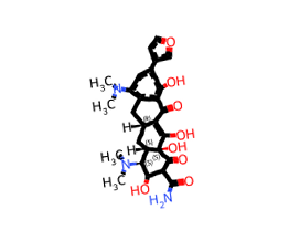 CN(C)c1cc(-c2ccoc2)c(O)c2c1C[C@H]1C[C@H]3[C@H](N(C)C)C(O)C(C(N)=O)C(=O)[C@@]3(O)C(O)=C1C2=O